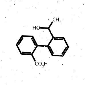 CC(O)c1ccccc1-c1ccccc1C(=O)O